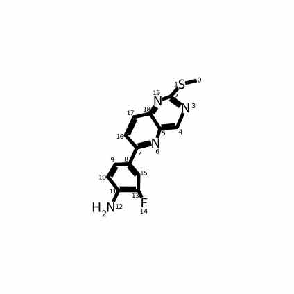 CSc1ncc2nc(-c3ccc(N)c(F)c3)ccc2n1